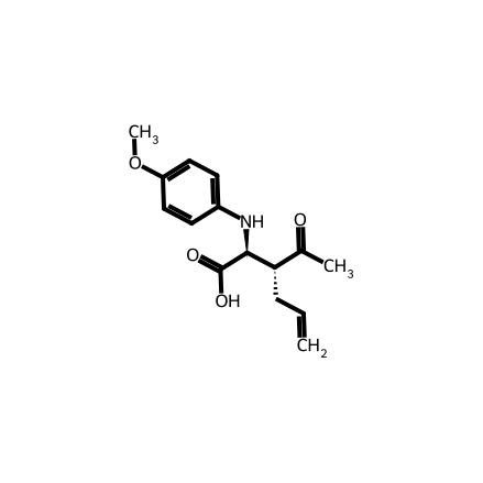 C=CC[C@@H](C(C)=O)[C@H](Nc1ccc(OC)cc1)C(=O)O